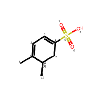 CC1=CC=C(S(=O)(=O)O)C[C@H]1C